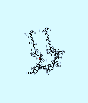 CC(C)=CC(=O)SCCNC(=O)CCNC(=O)[C@H](O)C(C)(C)COP(=O)(O)OP(=O)(O)OC[C@H]1O[C@@H](n2cnc3c(N)ncnc32)[C@H](O)[C@@H]1OP(=O)(O)O.CC(C)=CC(=O)SCCNC(=O)CCNC(=O)[C@H](O)C(C)(C)COP(=O)(O)OP(=O)(O)OC[C@H]1O[C@@H](n2cnc3c(N)ncnc32)[C@H](O)[C@@H]1OP(=O)(O)O.CC(C)C(O)C(=O)O